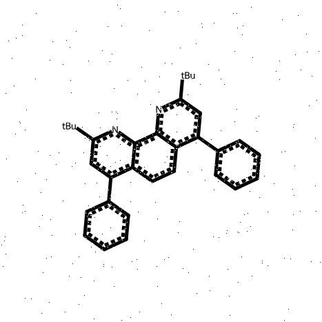 CC(C)(C)c1cc(-c2ccccc2)c2ccc3c(-c4ccccc4)cc(C(C)(C)C)nc3c2n1